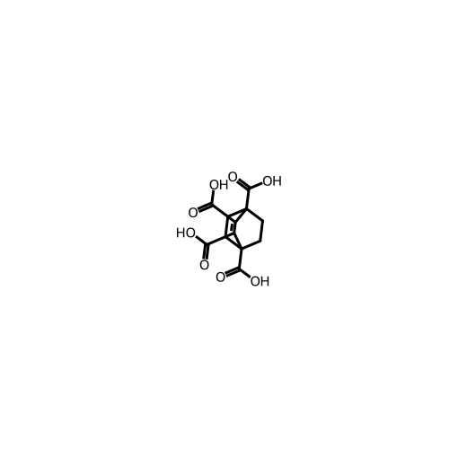 O=C(O)C1=C(C(=O)O)C2(C(=O)O)CCC1(C(=O)O)CC2